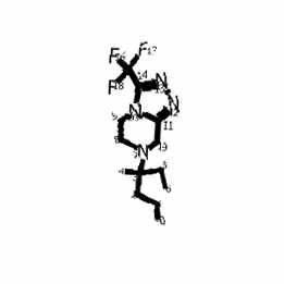 CCCC(C)(CC)N1CCn2c(nnc2C(F)(F)F)C1